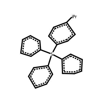 CC(C)c1ccc(S(c2ccccc2)(c2ccccc2)c2ccccc2)cc1